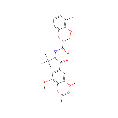 COc1cc(C(=O)N(NC(=O)C2COc3c(C)cccc3O2)C(C)(C)C)cc(OC)c1OC(C)=O